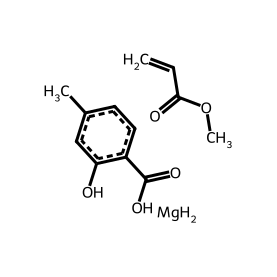 C=CC(=O)OC.Cc1ccc(C(=O)O)c(O)c1.[MgH2]